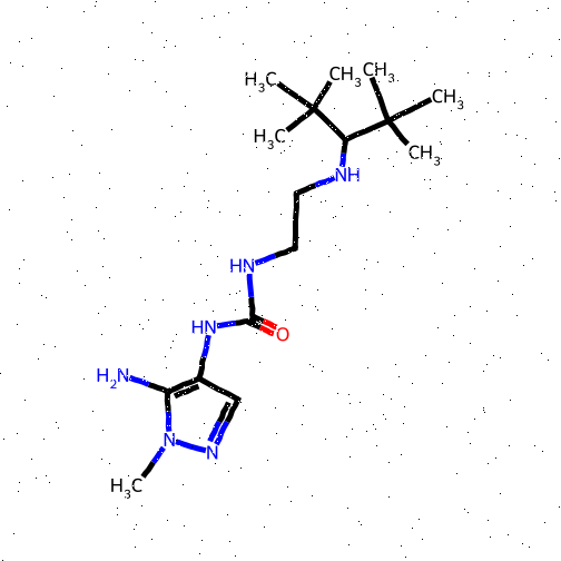 Cn1ncc(NC(=O)NCCNC(C(C)(C)C)C(C)(C)C)c1N